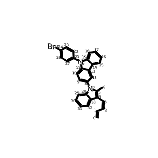 C=C/C=C\c1c(C)n(-c2ccc3c(c2)c2ccccc2n3-c2ccc(Br)cc2)c2ccccc12